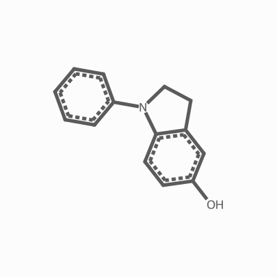 Oc1ccc2c(c1)CCN2c1ccccc1